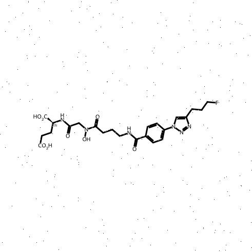 O=C(O)CC[C@H](NC(=O)CN(O)C(=O)CCCNC(=O)c1ccc(-n2cc(CCCF)nn2)cc1)C(=O)O